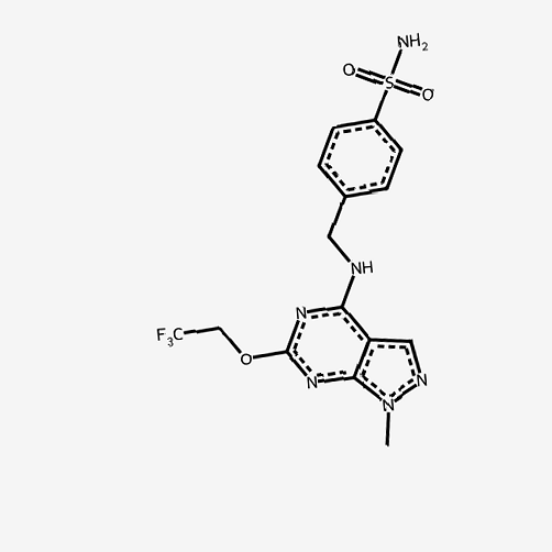 Cn1ncc2c(NCc3ccc(S(N)(=O)=O)cc3)nc(OCC(F)(F)F)nc21